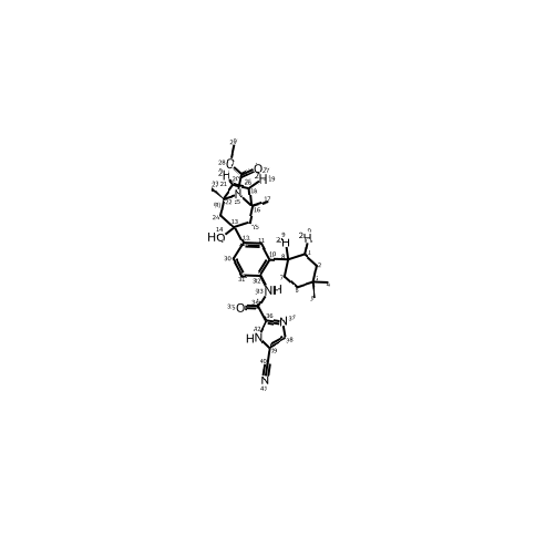 [2H]C1CC(C)(C)CCC1([2H])c1cc(C2(O)CC3(C)C([2H])C([2H])[C@@](C)(C2)N3C(=O)OC)ccc1NC(=O)c1ncc(C#N)[nH]1